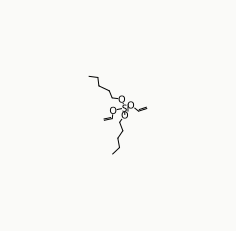 C=CO[Si](OC=C)(OCCCCC)OCCCCC